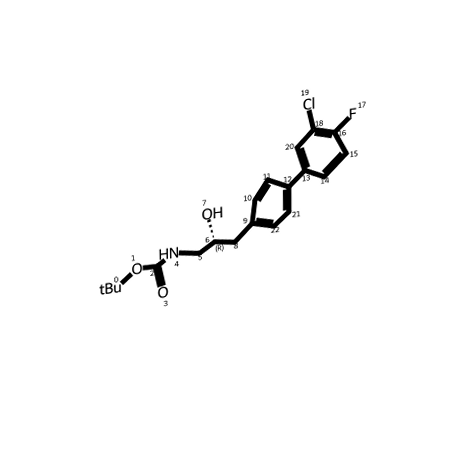 CC(C)(C)OC(=O)NC[C@H](O)Cc1ccc(-c2ccc(F)c(Cl)c2)cc1